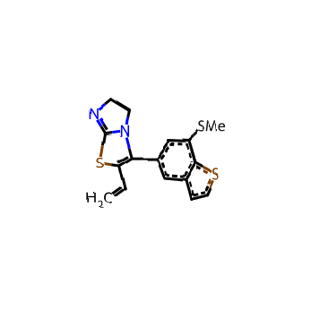 C=CC1=C(c2cc(SC)c3sccc3c2)N2CCN=C2S1